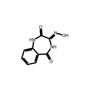 O=c1[nH]c2ccccc2c(=O)[nH]c1=NO